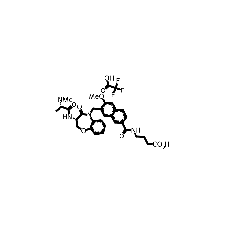 CN[C@@H](C)C(=O)N[C@H]1COc2ccccc2N(Cc2cc3cc(C(=O)NCCCC(=O)O)ccc3cc2OC)C1=O.O=C(O)C(F)(F)F